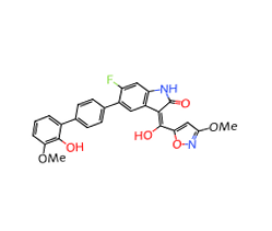 COc1cc(/C(O)=C2\C(=O)Nc3cc(F)c(-c4ccc(-c5cccc(OC)c5O)cc4)cc32)on1